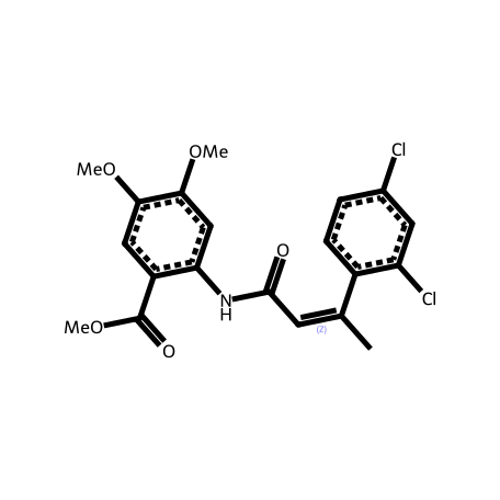 COC(=O)c1cc(OC)c(OC)cc1NC(=O)/C=C(/C)c1ccc(Cl)cc1Cl